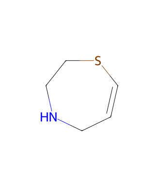 C1=CSCCNC1